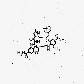 CCn1nc(C)cc1C(=O)Nc1nc2cc(C(N)=O)cc3c2n1[C@@H](CCCNc1c(N)cc(C(N)=O)cc1OCC[C@@H]1COC(C)(C)O1)CO3